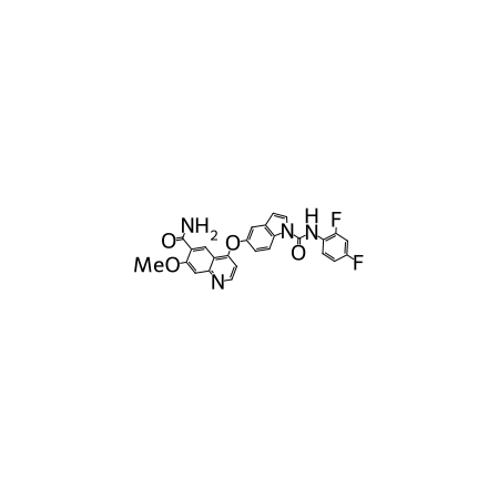 COc1cc2nccc(Oc3ccc4c(ccn4C(=O)Nc4ccc(F)cc4F)c3)c2cc1C(N)=O